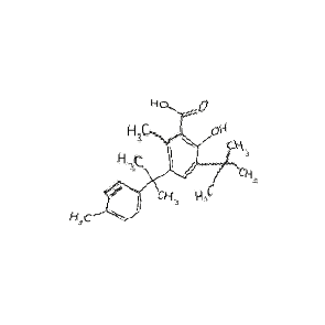 Cc1ccc(C(C)(C)c2cc(C(C)(C)C)c(O)c(C(=O)O)c2C)cc1